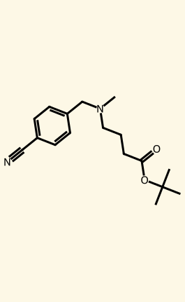 CN(CCCC(=O)OC(C)(C)C)Cc1ccc(C#N)cc1